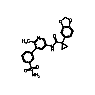 Cc1ncc(NC(=O)C2(c3ccc4c(c3)OCO4)CC2)cc1-c1cccc(S(N)(=O)=O)c1